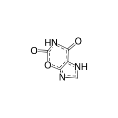 O=c1[nH]c(=O)c2[nH]cnc2o1